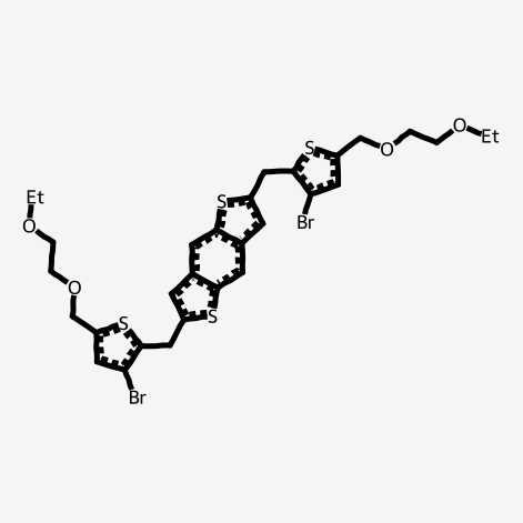 CCOCCOCc1cc(Br)c(Cc2cc3cc4sc(Cc5sc(COCCOCC)cc5Br)cc4cc3s2)s1